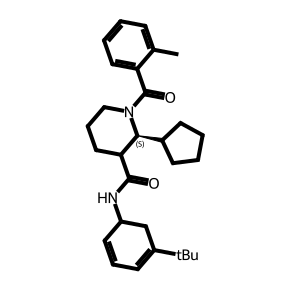 Cc1ccccc1C(=O)N1CCCC(C(=O)NC2C=CC=C(C(C)(C)C)C2)[C@@H]1C1CCCC1